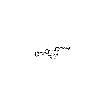 C=C(CCCCCC)C(=O)O.O=C(O)C=Cc1ccc(OCc2ccc(OCc3ccccc3)cc2)cc1